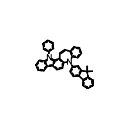 CC1(C)c2ccccc2-c2ccc(N3c4ccccc4C=Cc4c3ccc3c5ccccc5n(-c5ccccc5)c43)cc21